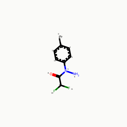 CC(C)c1ccc(N(N)C(=O)C(F)F)cc1